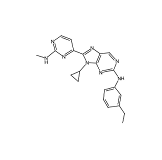 CCc1cccc(Nc2ncc3nc(-c4ccnc(NC)n4)n(C4CC4)c3n2)c1